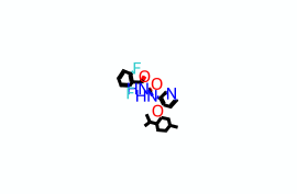 CC1CCC(C(C)C)C(Oc2ccncc2NC(=O)NC(=O)c2c(F)cccc2F)C1